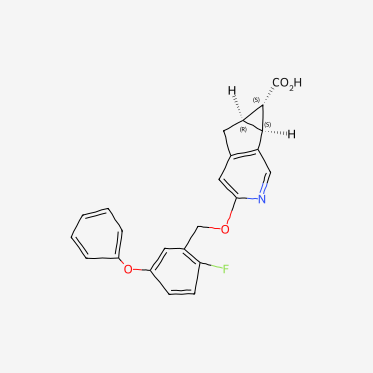 O=C(O)[C@H]1[C@@H]2Cc3cc(OCc4cc(Oc5ccccc5)ccc4F)ncc3[C@@H]21